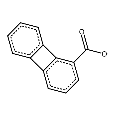 [O]C(=O)c1cccc2c1-c1ccccc1-2